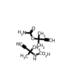 C#CC(C)(C)NC(=O)O.C#CC(C)(C)OC(N)=O